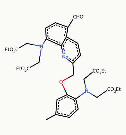 CCOC(=O)CN(CC(=O)OCC)c1ccc(C)cc1OCc1ccc2c(C=O)ccc(N(CC(=O)OCC)CC(=O)OCC)c2n1